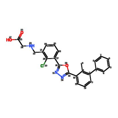 Cc1c(-c2ccccc2)cccc1-c1nnc(-c2cccc(CNCC(=O)O)c2Cl)o1